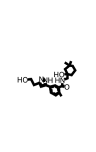 Cc1ccc(-c2cc(CCO)n[nH]2)cc1C(=O)NCC1(O)CCCC(C)(C)C1